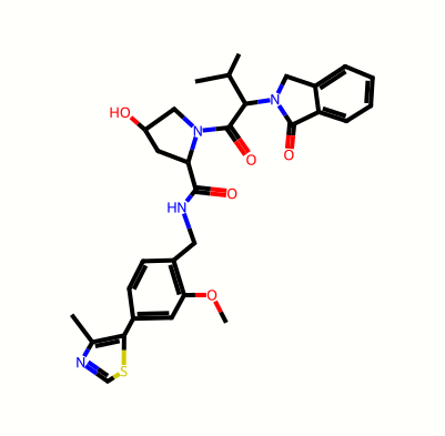 COc1cc(-c2scnc2C)ccc1CNC(=O)C1CC(O)CN1C(=O)C(C(C)C)N1Cc2ccccc2C1=O